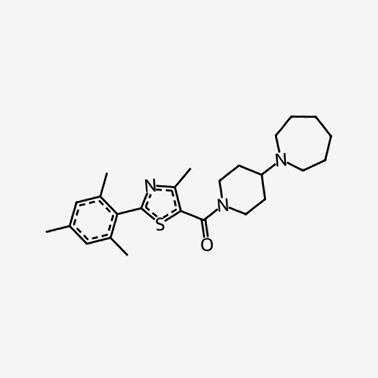 Cc1cc(C)c(-c2nc(C)c(C(=O)N3CCC(N4CCCCCC4)CC3)s2)c(C)c1